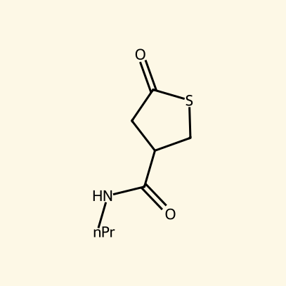 CCCNC(=O)C1CSC(=O)C1